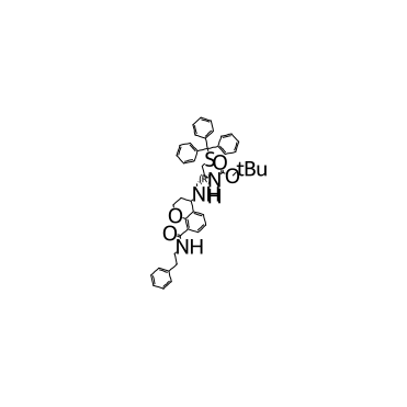 CC(C)(C)OC(=O)N[C@H](CNC1CCOc2c(C(=O)NCCc3ccccc3)cccc21)CSC(c1ccccc1)(c1ccccc1)c1ccccc1